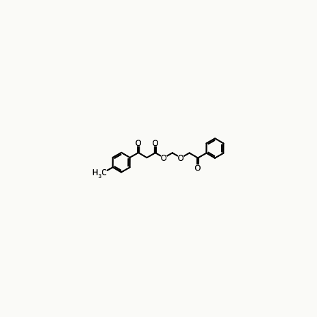 Cc1ccc(C(=O)CC(=O)OCOCC(=O)c2ccccc2)cc1